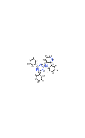 c1ccc(-c2nc(-c3ccccc3)nc(-n3c4ccccc4c4ncccc43)n2)cc1